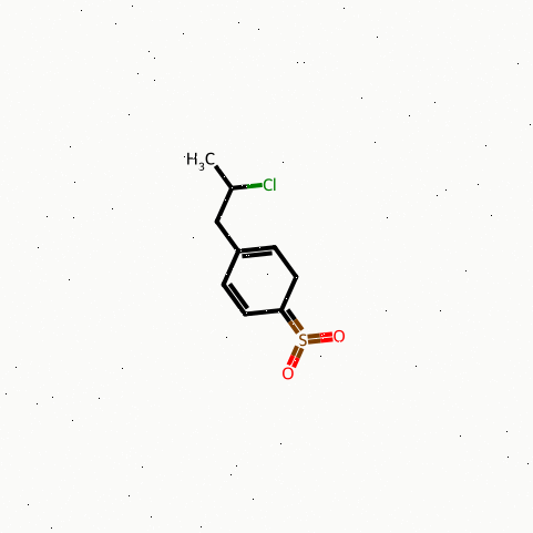 CC(Cl)CC1=CCC(=S(=O)=O)C=C1